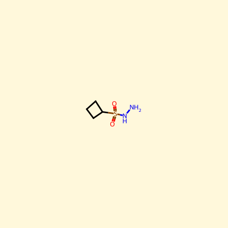 NNS(=O)(=O)C1CCC1